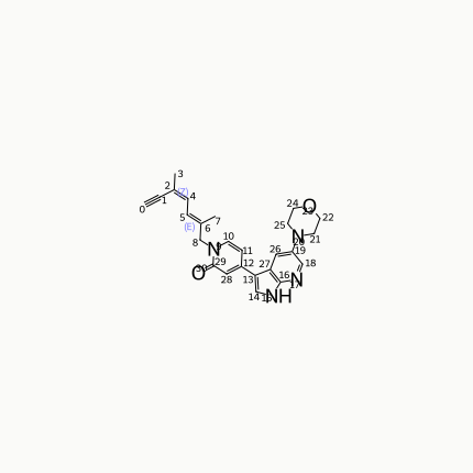 C#C/C(C)=C\C=C(/C)Cn1ccc(-c2c[nH]c3ncc(N4CCOCC4)cc23)cc1=O